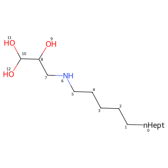 CCCCCCCCCCCCNCC(O)C(O)O